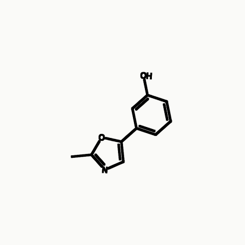 Cc1ncc(-c2cccc(O)c2)o1